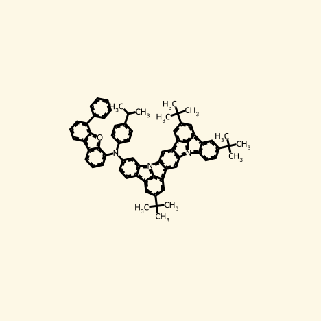 CC(C)c1ccc(N(c2ccc3c4cc(C(C)(C)C)cc5c6cc7c(cc6n(c3c2)c45)c2cc(C(C)(C)C)cc3c4cc(C(C)(C)C)ccc4n7c32)c2cccc3c2oc2c(-c4ccccc4)cccc23)cc1